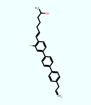 C=CCc1ccc(-c2ccc(-c3ccc(/C=C/CCCC(C)O)c(F)c3)cc2)cc1